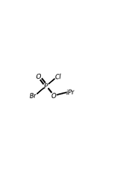 CC(C)OP(=O)(Cl)Br